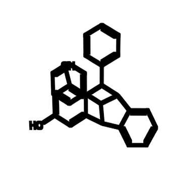 Oc1cc(O)c2c(c1)C1c3ccccc3C(C2c2ccccc2)C1c1ccccc1